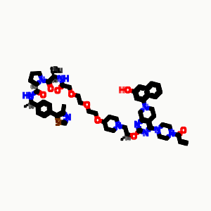 C=CC(=O)N1CCN(c2nc(O[C@H](C)CN3CCC(OCCOCCOCC(=O)N[C@H](C(=O)N4CCC[C@H]4C(=O)N[C@@H](C)c4ccc(-c5scnc5C)cc4)C(C)(C)C)CC3)nc3c2CCN(c2cc(O)cc4ccccc24)C3)CC1